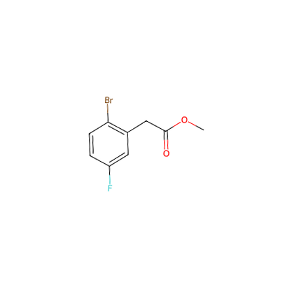 COC(=O)Cc1cc(F)ccc1Br